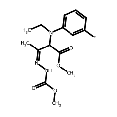 CCN(c1cccc(F)c1)C(C(=O)OC)/C(C)=N\NC(=O)OC